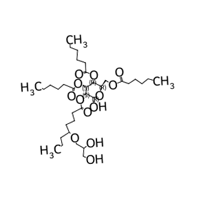 CCCCCC(=O)OC[C@H]1O[C@@H](O)[C@@H](OC(=O)CCCC(CCC)OCC(O)CO)[C@@H](OC(=O)CCCCC)[C@@H]1OC(=O)CCCCC